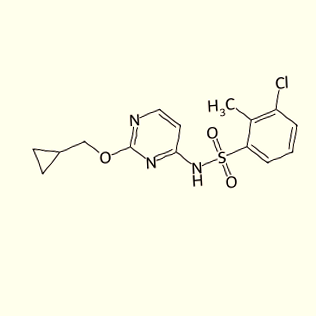 Cc1c(Cl)cccc1S(=O)(=O)Nc1ccnc(OCC2CC2)n1